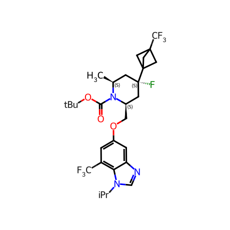 CC(C)n1cnc2cc(OC[C@@H]3C[C@](F)(C45CC(C(F)(F)F)(C4)C5)C[C@H](C)N3C(=O)OC(C)(C)C)cc(C(F)(F)F)c21